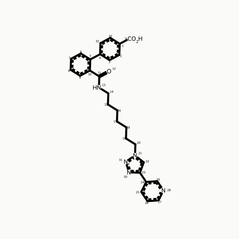 O=C(O)c1ccc(-c2ccccc2C(=O)NCCCCCCCn2cc(-c3cccnc3)nn2)cc1